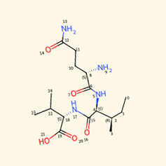 CC[C@@H](C)[C@H](NC(=O)[C@@H](N)CCC(N)=O)C(=O)N[C@H](C(=O)O)C(C)C